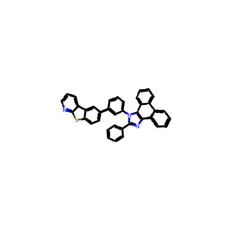 c1ccc(-c2nc3c4ccccc4c4ccccc4c3n2-c2cccc(-c3ccc4sc5ncccc5c4c3)c2)cc1